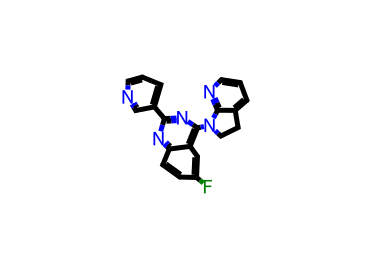 Fc1ccc2nc(-c3cccnc3)nc(N3CCc4cccnc43)c2c1